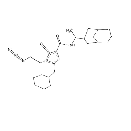 CC(NC(=O)c1cn(CC2CCCCC2)n(CCN=[N+]=[N-])c1=O)C1CC2CCCC(C2)C1